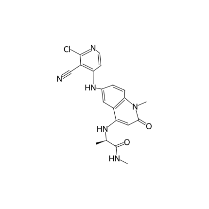 CNC(=O)[C@@H](C)Nc1cc(=O)n(C)c2ccc(Nc3ccnc(Cl)c3C#N)cc12